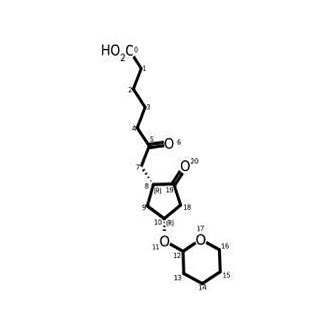 O=C(O)CCCCC(=O)C[C@H]1C[C@@H](OC2CCCCO2)CC1=O